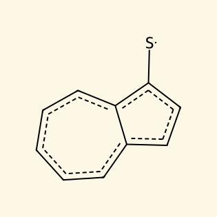 [S]c1ccc2cccccc1-2